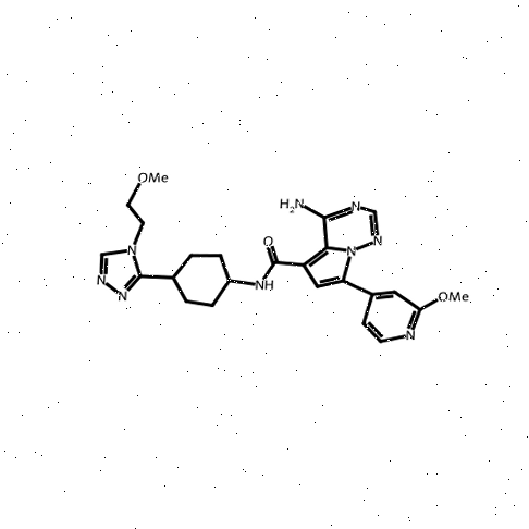 COCCn1cnnc1C1CCC(NC(=O)c2cc(-c3ccnc(OC)c3)n3ncnc(N)c23)CC1